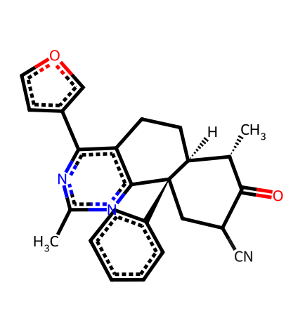 Cc1nc(-c2ccoc2)c2c(n1)[C@@]1(c3ccccc3)CC(C#N)C(=O)[C@@H](C)[C@@H]1CC2